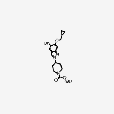 CC(C)(C)OC(=O)N1CCC(n2cc3cc(Br)c(OCC4CC4)cc3n2)CC1